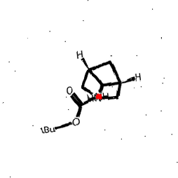 CC(C)(C)OC(=O)NC1[C@@H]2CNC[C@H]1C2